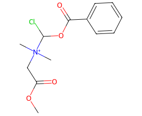 COC(=O)C[N+](C)(C)C(Cl)OC(=O)c1ccccc1